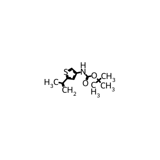 C=C(C)c1cc(NC(=O)OC(C)(C)C)cs1